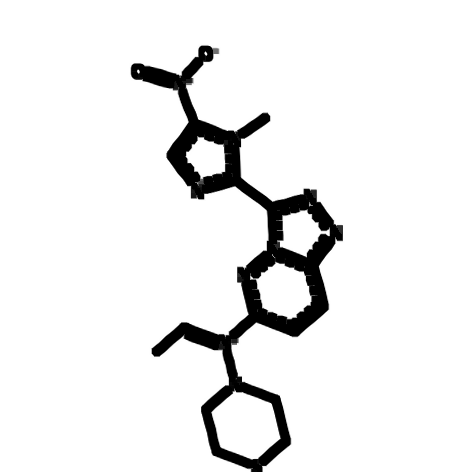 CC=[N+](c1ccc2nnc(-c3ncc([N+](=O)[O-])n3C)n2n1)N1CCSCC1